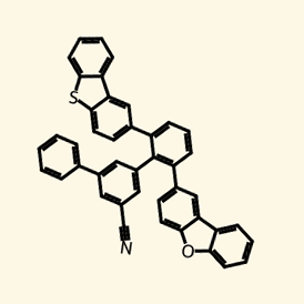 N#Cc1cc(-c2ccccc2)cc(-c2c(-c3ccc4oc5ccccc5c4c3)cccc2-c2ccc3sc4ccccc4c3c2)c1